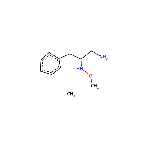 C.CONC(CN)Cc1ccccc1